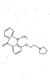 Cn1c2ccccc2c(=O)c2cccc(OCCN3CCCC3)c21